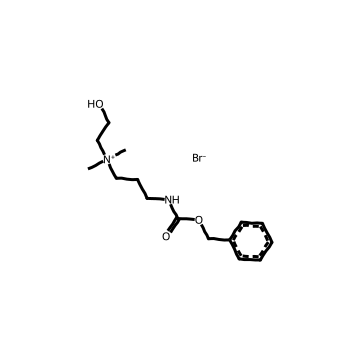 C[N+](C)(CCO)CCCNC(=O)OCc1ccccc1.[Br-]